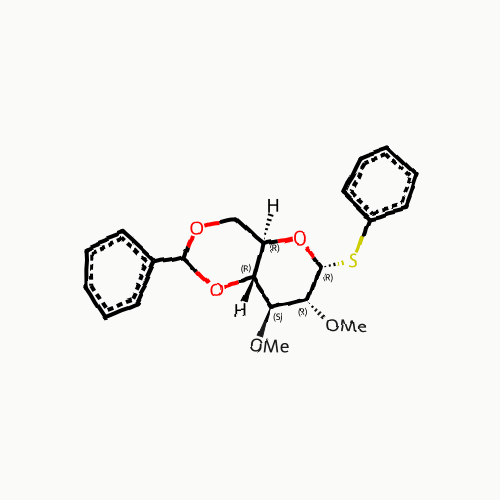 CO[C@@H]1[C@@H](OC)[C@@H](Sc2ccccc2)O[C@@H]2COC(c3ccccc3)O[C@@H]12